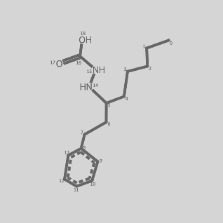 CCCCCC(CCc1ccccc1)NNC(=O)O